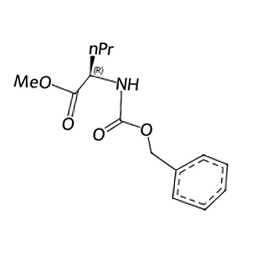 CCC[C@@H](NC(=O)OCc1ccccc1)C(=O)OC